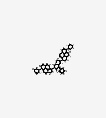 c1ccc(-c2ccc3ccc4c(-c5ccc6cc(-c7ccc8ccc9c(-c%10ccccc%10)ccc%10ccc7c8c%109)c7oc8ccccc8c7c6c5)ccc5ccc2c3c54)cc1